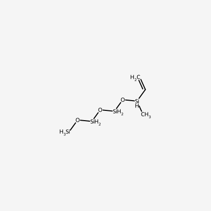 C=C[SiH](C)O[SiH2]O[SiH2]O[SiH3]